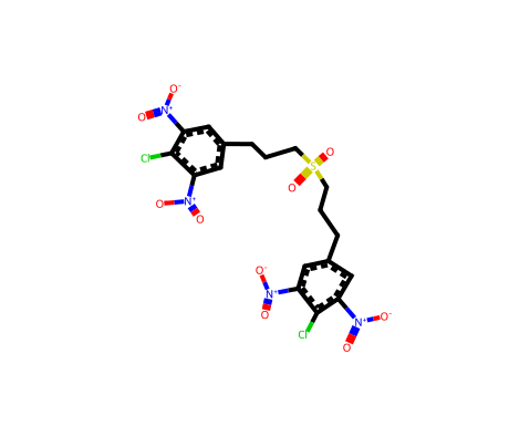 O=[N+]([O-])c1cc(CCCS(=O)(=O)CCCc2cc([N+](=O)[O-])c(Cl)c([N+](=O)[O-])c2)cc([N+](=O)[O-])c1Cl